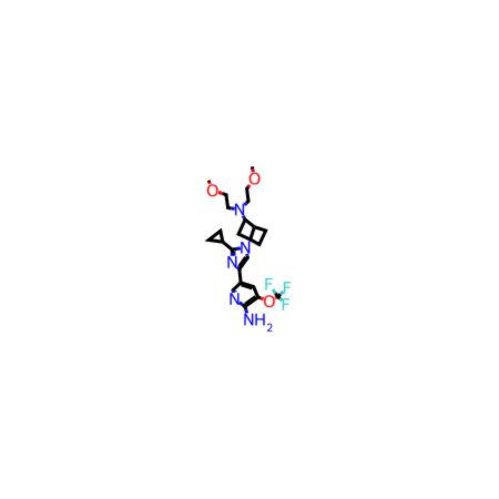 COCCN(CCOC)C1CC2(n3cc(-c4cnc(N)c(OC(F)(F)F)c4)nc3C3CC3)CCC12